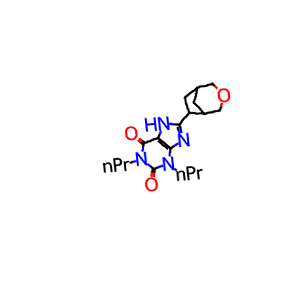 CCCn1c(=O)c2[nH]c(C3CC4COCC3C4)nc2n(CCC)c1=O